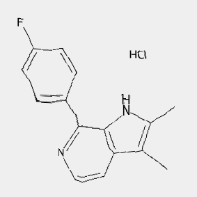 Cc1[nH]c2c(-c3ccc(F)cc3)nccc2c1C.Cl